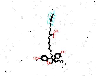 CCCC1(c2ccc(O)cc2)COc2cc(O)ccc2C1CCCCCCCCC(CCCC(F)(F)C(F)(F)C(F)(F)C(F)(F)F)C(=O)O